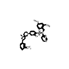 COc1ccc(CN(c2ccncn2)S(=O)(=O)c2ccc(N3CCCC(CCc4cccc(C(F)(F)F)c4)(N(C)C)C3)cc2Cl)c(OC)c1